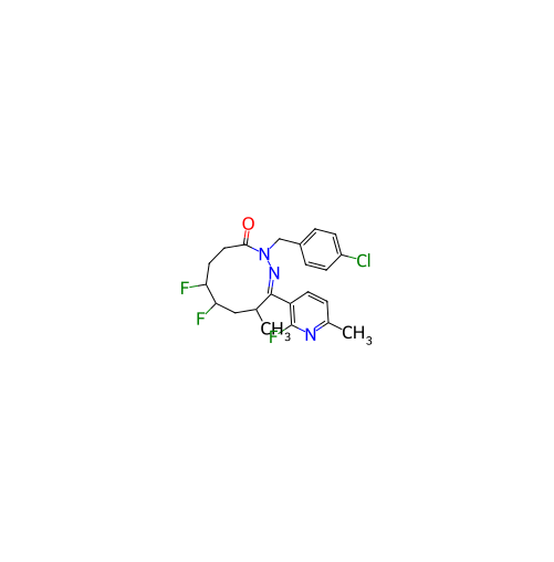 Cc1ccc(/C2=N/N(Cc3ccc(Cl)cc3)C(=O)CCC(F)C(F)CC2C)c(F)n1